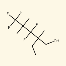 CCC(C)(CO)C(F)(F)C(C)(C)C(F)(F)F